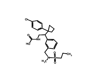 CCCS(=O)(=O)N(C)Cc1cccc(C(CNC(=O)O)C2(c3ccc(Cl)cc3)CCC2)c1